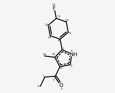 CCC(=O)c1c[nH]c(C2=CCC(F)C=C2)c1C